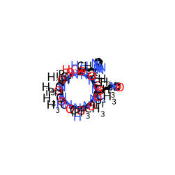 CC[C@@H]1NC(=O)[C@H]([C@H](O)[C@H](C)CCCCCn2nnc3cccnc32)NC(=O)[C@H](C(C)C)N(C)C(=O)[C@H](CC(C)C)N(C)C(=O)[C@H](CC(C)C)N(C)C(=O)[C@@H](C)NC(=O)[C@H](C)NC(=O)[C@H](CC(C)C)N(C)C(=O)[C@H](C(C)C)NC(=O)[C@H]([C@@H](C)OCCCCN2CCOCC2)N(C)C(=O)[C@@H](C)N(C)C1=O